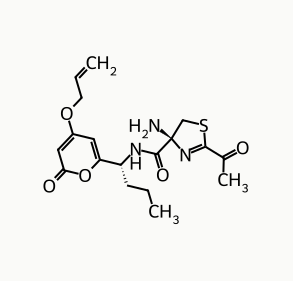 C=CCOc1cc([C@@H](CCC)NC(=O)[C@]2(N)CSC(C(C)=O)=N2)oc(=O)c1